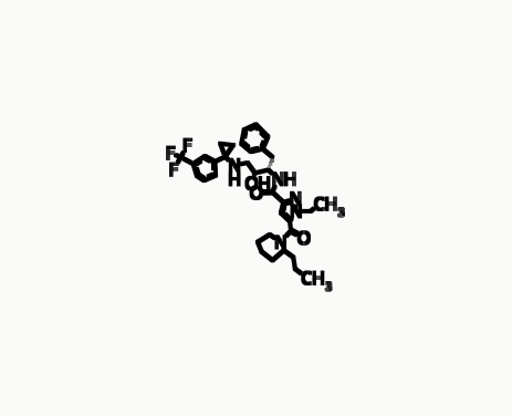 CCCC1CCCCN1C(=O)c1cc(C(=O)N[C@@H](Cc2ccccc2)[C@@H](O)CNC2(c3cccc(C(F)(F)F)c3)CC2)nn1CC